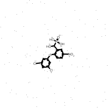 O=[N+]([O-])c1ccc(Sc2cc(Cl)cc(Cl)c2)c(C(O)P(=O)(O)O)c1